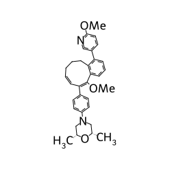 CO/C1=C(c2ccc(N3C[C@@H](C)O[C@@H](C)C3)cc2)/C=C\CCCc2c1cccc2-c1ccc(OC)nc1